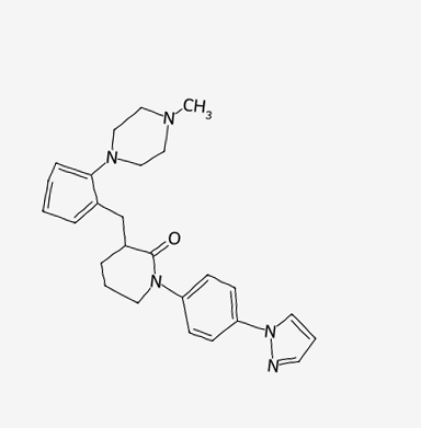 CN1CCN(c2ccccc2CC2CCCN(c3ccc(-n4cccn4)cc3)C2=O)CC1